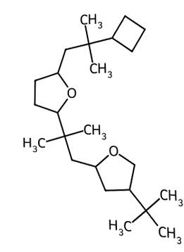 CC(C)(C)C1COC(CC(C)(C)C2CCC(CC(C)(C)C3CCC3)O2)C1